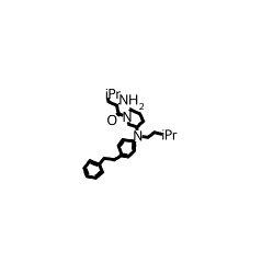 CC(C)CCN(c1ccc(CCc2ccccc2)cc1)C1CCCN(C(=O)[C@@H](N)CC(C)C)C1